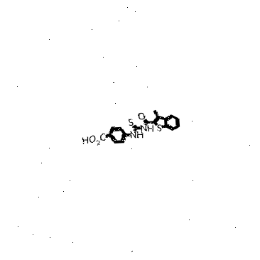 Cc1c(C(=O)NC(=S)Nc2ccc(C(=O)O)cc2)sc2ccccc12